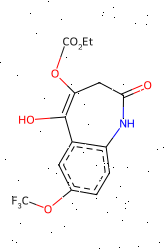 CCOC(=O)OC1=C(O)c2cc(OC(F)(F)F)ccc2NC(=O)C1